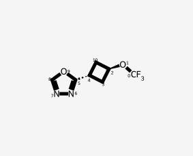 FC(F)(F)O[C@H]1C[C@H](c2nn[c]o2)C1